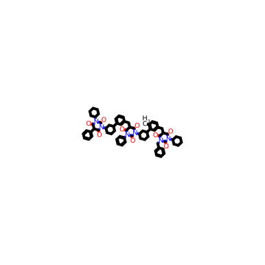 Cc1ccc(CC2C(=O)N(Cc3ccccc3)C(=O)N(C3CCCCC3)C2=O)cc1C1CCCC(N2C(=O)C(Cc3cccc(C4CCCC(N5C(=O)C(c6ccccc6)C(=O)N(C6CCCCC6)C5=O)C4)c3)C(=O)N(c3ccccc3)C2=O)C1